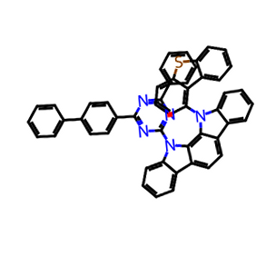 c1ccc(-c2ccc(-c3nc(-c4ccccc4)nc(-n4c5ccccc5c5ccc6c7ccccc7n(-c7cccc8sc9ccccc9c78)c6c54)n3)cc2)cc1